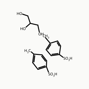 Cc1ccc(S(=O)(=O)O)cc1.Cc1ccc(S(=O)(=O)O)cc1.OCC(O)CO